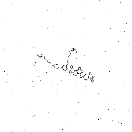 CCCCCCCc1ccc(-c2ccc(C(=O)Oc3ccc(C(=O)Oc4ccc([N+](=O)[O-])c(Cl)c4)c(Cl)c3)c(CCCCCCC)c2)cc1